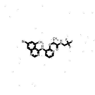 Cc1cc(Br)cc2ncnc(Nc3cccnc3O[C@H](C)C(=O)NCC(F)(F)F)c12